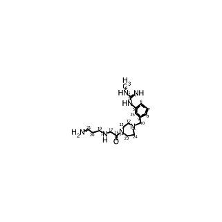 CNC(=N)Nc1cccc(CN2CCN(C(=O)CNCCCN)CC2)c1